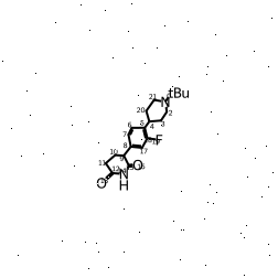 CC(C)(C)N1CCC(c2ccc(C3CCC(=O)NC3=O)cc2F)CC1